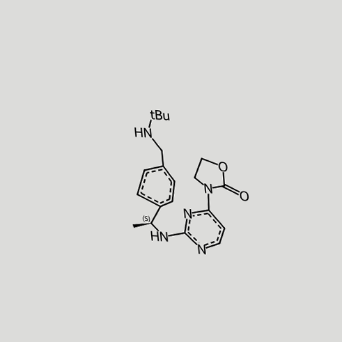 C[C@H](Nc1nccc(N2CCOC2=O)n1)c1ccc(CNC(C)(C)C)cc1